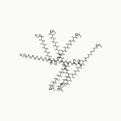 CCCCCCCCCCCCN(CCCCCCCCCCCC)C(=O)CNCCN(CCN(CCNCC(=O)N(CCCCCCCCCCCC)CCCCCCCCCCCC)CC(=O)N(CCCCCCCCCCCC)CCCCCCCCCCCC)CC(=O)N(CCCCCCCCCCCC)CCCCCCCCCCCC